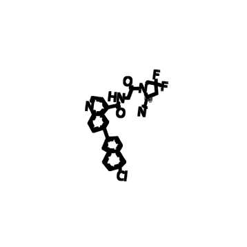 N#C[C@@H]1CC(F)(F)CN1C(=O)CNC(=O)c1ccnc2ccc(-c3ccc4cc(Cl)ccc4c3)cc12